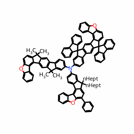 CCCCCCCC1(CCCCCCC)c2cc(N(c3ccc4c(c3)C(C)(C)c3cc5c(cc3-4)C(C)(C)c3ccc4oc6ccccc6c4c3-5)c3ccc4c(c3)C3(c5ccccc5-c5ccccc53)c3cc5c(cc3-4)C3(c4ccccc4-c4ccccc43)c3ccc4oc6ccccc6c4c3-5)ccc2-c2c1cc(-c1ccccc1)c1oc3ccccc3c21